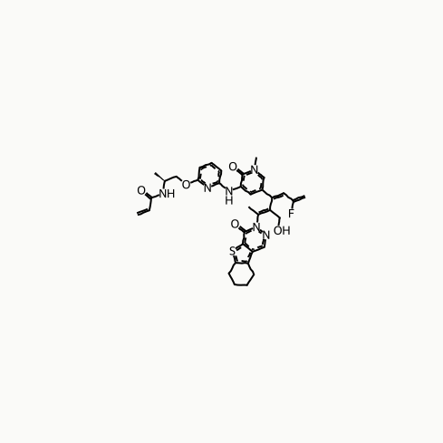 C=CC(=O)N[C@@H](C)COc1cccc(Nc2cc(C(=C/C(=C)F)/C(CO)=C(\C)n3ncc4c5c(sc4c3=O)CCCC5)cn(C)c2=O)n1